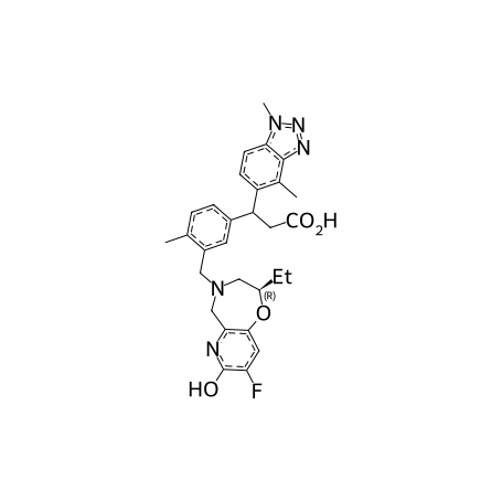 CC[C@@H]1CN(Cc2cc(C(CC(=O)O)c3ccc4c(nnn4C)c3C)ccc2C)Cc2nc(O)c(F)cc2O1